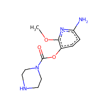 COc1nc(N)ccc1OC(=O)N1CCNCC1